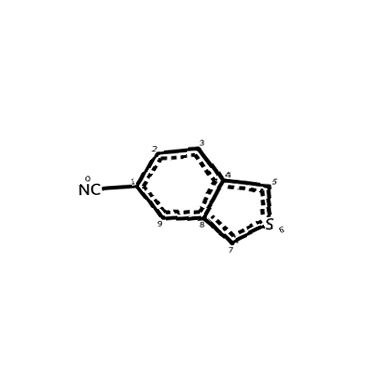 N#Cc1ccc2cs[c]c2c1